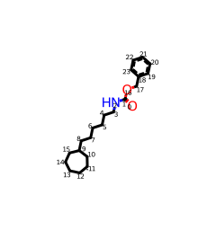 O=C(NCCCCCCC1C[CH]CCCC1)OCc1ccccc1